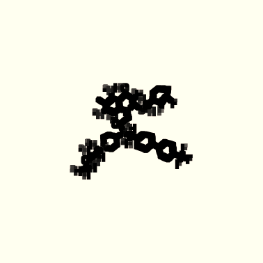 [2H]C1=C(SC([2H])([2H])c2cccc(F)c2F)N(CC(=O)N(C2CCN(C([2H])([2H])C([2H])([2H])OC([2H])([2H])[2H])CC2)C([2H])([2H])c2ccc(-c3ccc(C(F)(F)F)cc3)cc2)c2c([2H])c([2H])c(C)c([2H])c2C1O